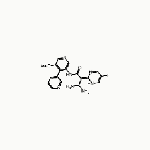 COc1cncc(NC(=O)/C(=C2\N=CC(F)=CN2)C(N)N)c1-c1cccnc1